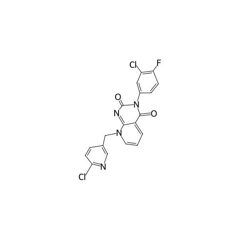 O=c1nc2n(Cc3ccc(Cl)nc3)cccc-2c(=O)n1-c1ccc(F)c(Cl)c1